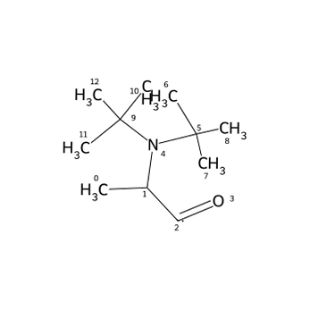 CC([C]=O)N(C(C)(C)C)C(C)(C)C